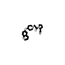 N#CC1CCCN1C(=O)CN1CCC(Oc2ccc3ncccc3c2)CC1